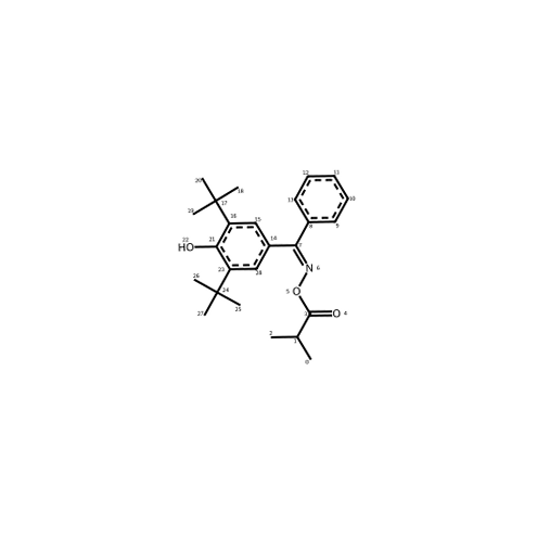 CC(C)C(=O)ON=C(c1ccccc1)c1cc(C(C)(C)C)c(O)c(C(C)(C)C)c1